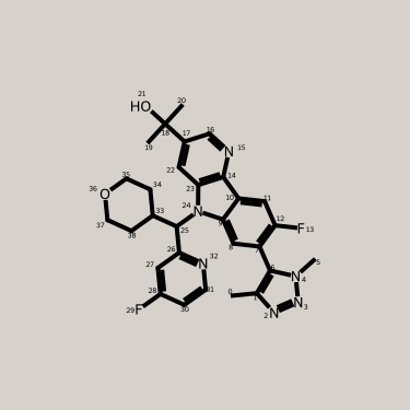 Cc1nnn(C)c1-c1cc2c(cc1F)c1ncc(C(C)(C)O)cc1n2C(c1cc(F)ccn1)C1CCOCC1